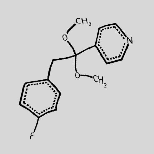 COC(Cc1ccc(F)cc1)(OC)c1ccncc1